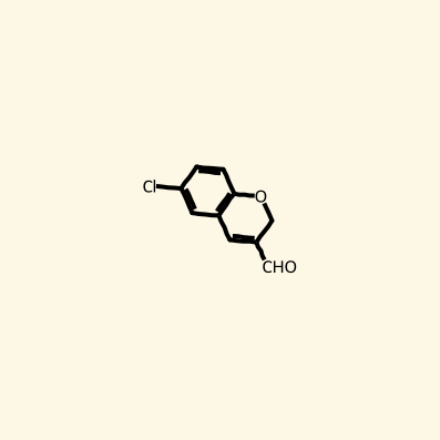 O=CC1=Cc2cc(Cl)ccc2OC1